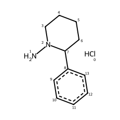 Cl.NN1CCCCC1c1ccccc1